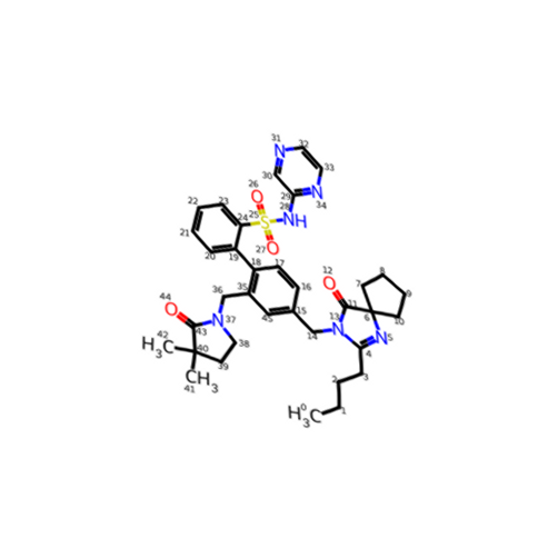 CCCCC1=NC2(CCCC2)C(=O)N1Cc1ccc(-c2ccccc2S(=O)(=O)Nc2cnccn2)c(CN2CCC(C)(C)C2=O)c1